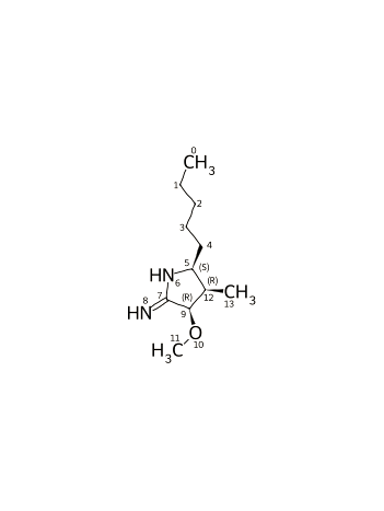 CCCCC[C@@H]1NC(=N)[C@H](OC)[C@@H]1C